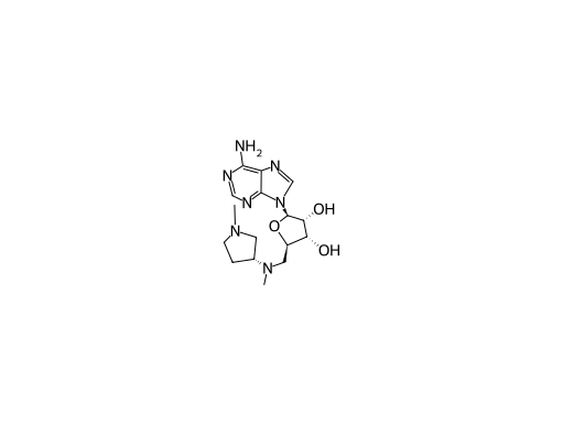 CN1CC[C@@H](N(C)C[C@H]2O[C@@H](n3cnc4c(N)ncnc43)[C@H](O)[C@@H]2O)C1